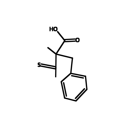 CC(=S)C(C)(Cc1ccccc1)C(=O)O